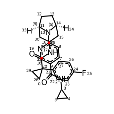 O=C(NC1CC1)c1ccc(N2[C@@H]3CC[C@H]2C[C@@H](NC(=O)C2(c4ccc(F)cc4)CC2)C3)nc1